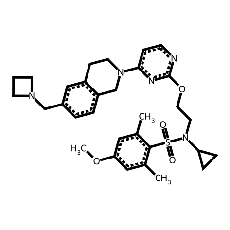 COc1cc(C)c(S(=O)(=O)N(CCOc2nccc(N3CCc4cc(CN5CCC5)ccc4C3)n2)C2CC2)c(C)c1